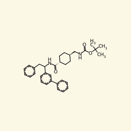 CC(C)(C)OC(=O)NC[C@H]1CC[C@H](C(=O)NC(Cc2ccccc2)c2cccc(-c3ccccc3)c2)CC1